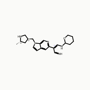 C[C@H]1C[C@H](Cn2ccc3cc(/C(C=N)=C/NC4CCCCO4)ncc32)CN1